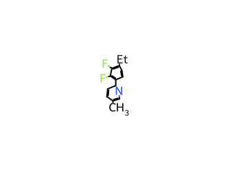 CCc1ccc(-c2ccc(C)cn2)c(F)c1F